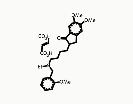 CCN(CCCCC1Cc2cc(OC)c(OC)cc2C1=O)Cc1ccccc1OC.O=C(O)C=CC(=O)O